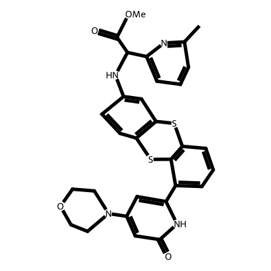 COC(=O)C(Nc1ccc2c(c1)Sc1cccc(-c3cc(N4CCOCC4)cc(=O)[nH]3)c1S2)c1cccc(C)n1